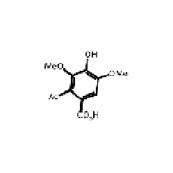 COc1cc(C(=O)O)c(C(C)=O)c(OC)c1O